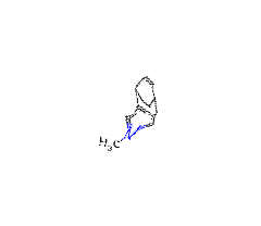 Cn1cc2c(c1)C1C=CC2CC1